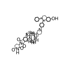 [2H]C1([2H])N(CC2CCN(c3ccc([C@@H]4c5ccc(O)cc5CC[C@@H]4c4ccccc4)cc3)CC2)C([2H])([2H])C([2H])([2H])N(c2cc3c(cc2F)C(=O)N(C2CCC(=O)NC2=O)C3=O)C1([2H])[2H]